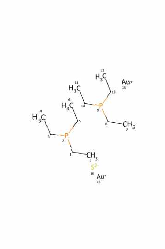 CCP(CC)CC.CCP(CC)CC.[Au+].[Au+].[S-2]